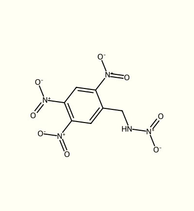 O=[N+]([O-])NCc1cc([N+](=O)[O-])c([N+](=O)[O-])cc1[N+](=O)[O-]